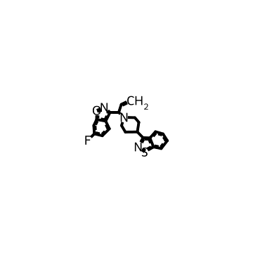 C=CC(c1noc2cc(F)ccc12)N1CCC(c2nsc3ccccc23)CC1